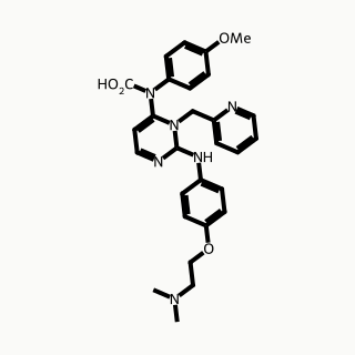 COc1ccc(N(C(=O)O)C2=CC=NC(Nc3ccc(OCCN(C)C)cc3)N2Cc2ccccn2)cc1